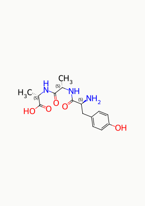 C[C@H](NC(=O)[C@H](C)NC(=O)[C@@H](N)Cc1ccc(O)cc1)C(=O)O